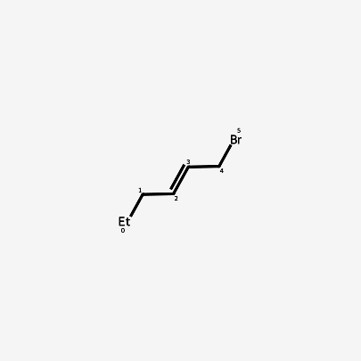 CCCC=CCBr